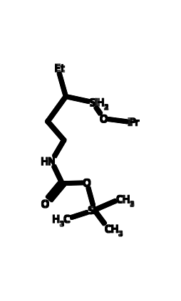 CCC(CCNC(=O)O[Si](C)(C)C)[SiH2]OC(C)C